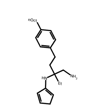 CCCCCCCCc1ccc(CCC(CC)(CN)NC2=CCC=C2)cc1